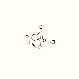 OCC1=CC(O)[C@@H]2C=CO[C@@H](OCCl)[C@H]12